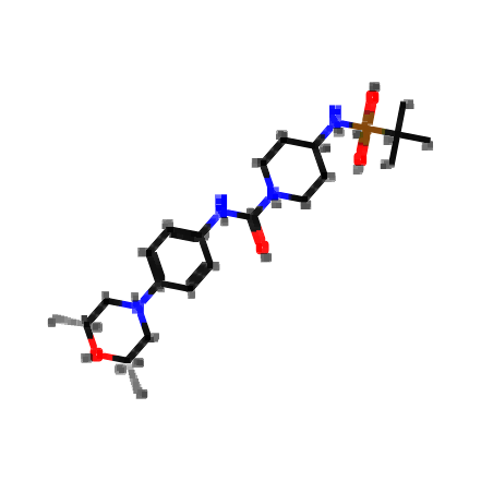 C[C@@H]1CN(c2ccc(NC(=O)N3CCC(NS(=O)(=O)C(C)(C)C)CC3)cc2)C[C@H](C)O1